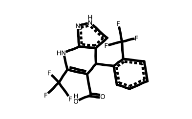 O=C(O)C1=C(C(F)(F)F)Nc2n[nH]cc2C1c1ccccc1C(F)(F)F